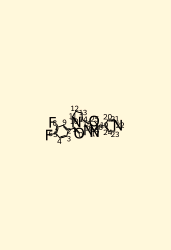 O=C(c1ccc(F)c(F)c1)N1CCCC1c1nnc(-c2ccncc2)o1